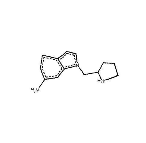 Nc1ccc2ccn(CC3CCCN3)c2c1